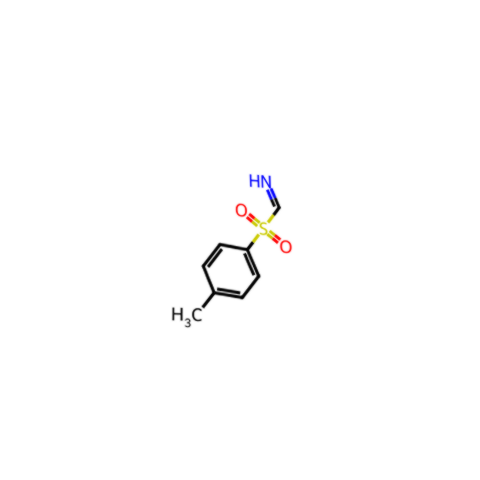 Cc1ccc(S(=O)(=O)C=N)cc1